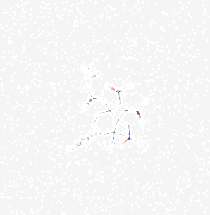 NC1(N)CCCC(CC(=O)[O-])(CC(=O)[O-])C1(CC(=O)[O-])CC(=O)[O-].[Ca+2].[Ca+2].[NaH].[NaH].[NaH].[NaH]